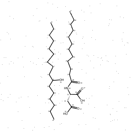 CCCCCCCCCC(O)CCCCCC.CCCCCCCCCCCC(=O)N[C@@H](CC(=O)O)C(=O)O